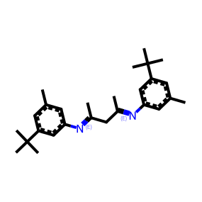 C/C(C/C(C)=N/c1cc(C)cc(C(C)(C)C)c1)=N\c1cc(C)cc(C(C)(C)C)c1